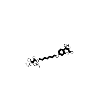 CCC(C)(C)C(=O)OCCCCCCCOc1ccc2c(C)cc(=O)oc2c1